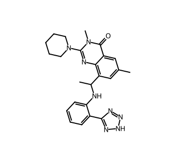 Cc1cc(C(C)Nc2ccccc2-c2nn[nH]n2)c2nc(N3CCCCC3)n(C)c(=O)c2c1